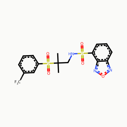 CC(C)(CNS(=O)(=O)c1cccc2nonc12)S(=O)(=O)c1cccc(C(F)(F)F)c1